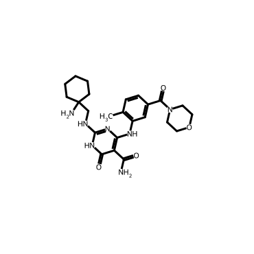 Cc1ccc(C(=O)N2CCOCC2)cc1Nc1nc(NCC2(N)CCCCC2)[nH]c(=O)c1C(N)=O